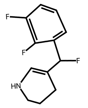 Fc1cccc(C(F)C2=CNCCC2)c1F